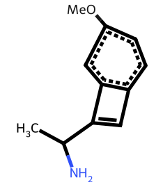 COc1ccc2c(c1)C(C(C)N)=C2